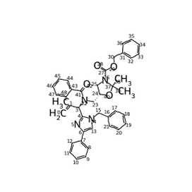 C=C(C)[C@H](c1nc(-c2ccccc2)cn1Cc1ccccc1)N(C[C@@H]1CN(C(=O)OCc2ccccc2)C(C)(C)O1)C(=O)c1ccccc1